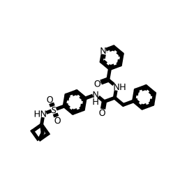 O=C(NC(Cc1ccccc1)C(=O)Nc1ccc(S(=O)(=O)NC23CC(C2)C3)cc1)c1cccnc1